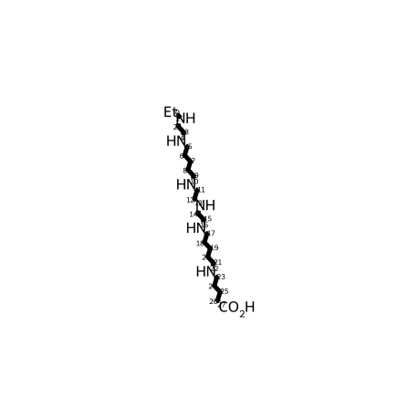 CCNCCNCCCCCNCCNCCNCCCCCNCCCCC(=O)O